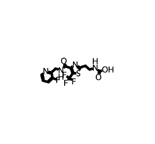 O=C(O)NCCc1nc(C(=O)NCc2ncccc2F)c(C(F)(F)F)s1